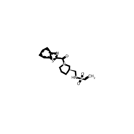 C=CS(=O)(=O)NC[C@H]1CCCN(C(=O)c2nc3ccccc3s2)C1